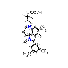 CC(=O)N(Cc1cc(C(F)(F)F)cc(C(F)(F)F)c1)C1CCCN(CCC(C)(C)CC(=O)O)c2cc(C(F)(F)F)c(C)cc21